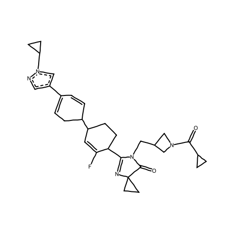 O=C(C1CC1)N1CC(CN2C(=O)C3(CC3)N=C2C2CCC(C3C=CC(c4cnn(C5CC5)c4)=CC3)C=C2F)C1